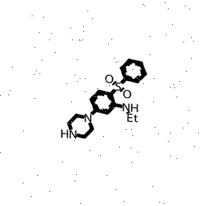 CCNc1cc(N2CCNCC2)ccc1S(=O)(=O)c1ccccc1